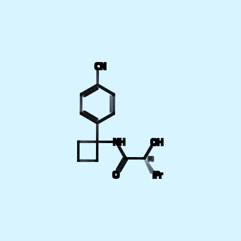 CC(C)[C@@H](O)C(=O)NC1(c2ccc(C#N)cc2)CCC1